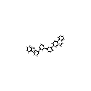 c1cc(-c2cccc(-c3cccc4c3oc3ccccc34)c2)cc(-c2ccc3c(ccc4ccccc43)c2)c1